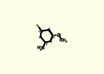 CO[C@@H]1C[C@@H](N)CN(I)C1